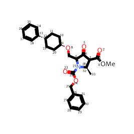 COC(=O)C1C(=O)C(CO[C@H]2CC[C@@H](c3ccccc3)CC2)N(C(=O)OCc2ccccc2)[C@@H]1C